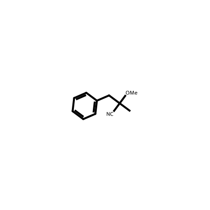 COC(C)(C#N)Cc1ccccc1